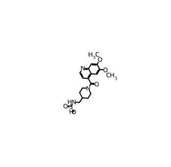 COc1cc2nccc(C(=O)N3CCC(CN[SH](=O)=O)CC3)c2cc1OC